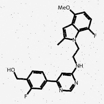 COc1ccc(F)c2c1cc(C)n2CCNc1cc(-c2ccc(CO)c(F)c2)ncn1